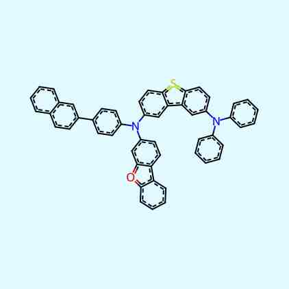 c1ccc(N(c2ccccc2)c2ccc3sc4ccc(N(c5ccc(-c6ccc7ccccc7c6)cc5)c5ccc6c(c5)oc5ccccc56)cc4c3c2)cc1